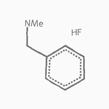 CNCc1ccccc1.F